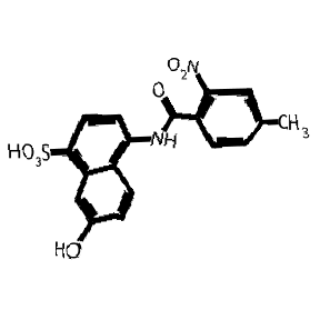 Cc1ccc(C(=O)Nc2ccc(S(=O)(=O)O)c3cc(O)ccc23)c([N+](=O)[O-])c1